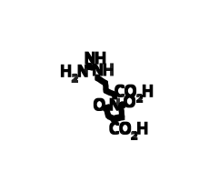 N=C(N)NCCCC(C(=O)O)N1C(=O)C=C(C(=O)O)CC1=O